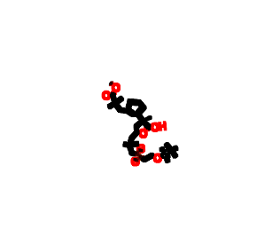 COC(=O)C(C)(C)Cc1cccc([C@@](C)(CCCC(C)(C)CS(=O)(=O)CCO[Si](C)(C)C(C)(C)C)C(=O)O)c1